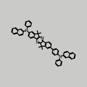 CC1(C)c2cc(-c3ccc(N(c4ccccc4)c4ccc5ccccc5c4)cc3)ccc2-c2nc3c(nc21)-c1ccc(N(c2ccccc2)c2ccc4ccccc4c2)cc1C3(C)C